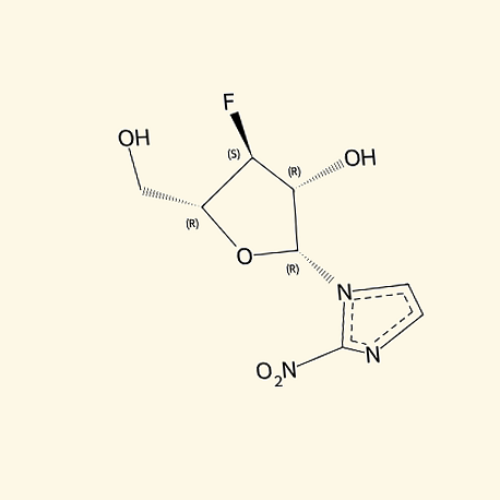 O=[N+]([O-])c1nccn1[C@@H]1O[C@H](CO)[C@@H](F)[C@@H]1O